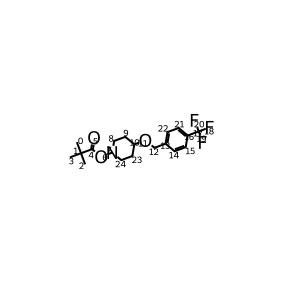 CC(C)(C)C(=O)ON1CCC(OCc2ccc(C(F)(F)F)cc2)CC1